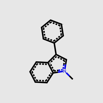 Cn1cc(-c2c[c]ccc2)c2ccccc21